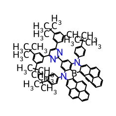 Cc1cc(-c2cc(-c3cc(C(C)(C)C)cc(C(C)(C)C)c3)nc(-c3cc4c5c(c3)N(c3ccc(C(C)(C)C)cc3)c3cc6ccc7cccc8ccc(c3B5c3c(cc5ccc9cccc%10ccc3c5c9%10)N4c3ccc(C(C)(C)C)cc3)c6c78)n2)cc(C(C)(C)C)c1